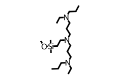 CCCN(CC)CCCN(CCCN(CC)CCC)CC[Si](C)(C)OC